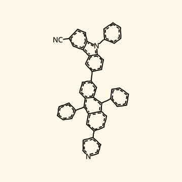 N#Cc1ccc2c(c1)c1cc(-c3ccc4c(-c5ccccc5)c5cc(-c6ccncc6)ccc5c(-c5ccccc5)c4c3)ccc1n2-c1ccccc1